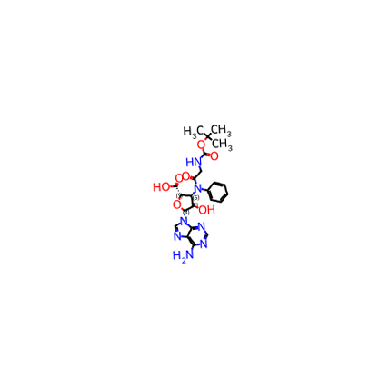 CC(C)(C)OC(=O)NCC(=O)N(c1ccccc1)[C@H]1[C@@H](O)[C@H](n2cnc3c(N)ncnc32)O[C@@H]1C(=O)O